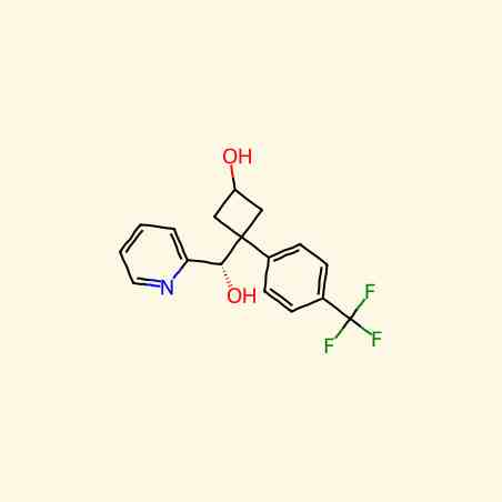 OC1CC(c2ccc(C(F)(F)F)cc2)([C@H](O)c2ccccn2)C1